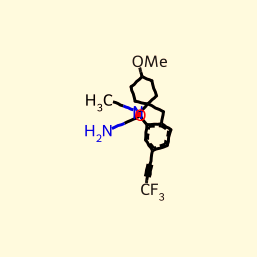 COC1CCC2(CC1)Cc1ccc(C#CC(F)(F)F)cc1C21N=C(N)N(C)O1